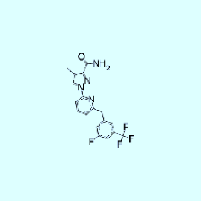 Cc1cn(-c2cccc(Cc3cc(F)cc(C(F)(F)F)c3)n2)nc1C(N)=O